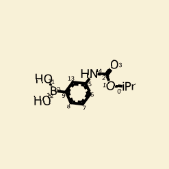 CC(C)OC(=O)Nc1cccc(B(O)O)c1